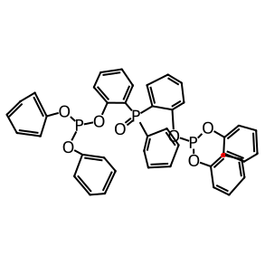 O=P(c1ccccc1)(c1ccccc1OP(Oc1ccccc1)Oc1ccccc1)c1ccccc1OP(Oc1ccccc1)Oc1ccccc1